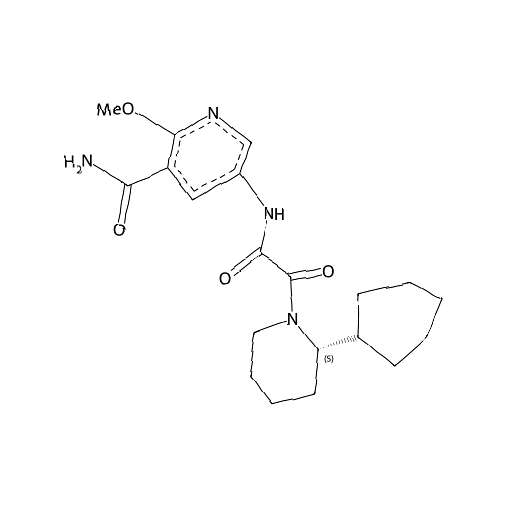 COc1ncc(NC(=O)C(=O)N2CCCC[C@H]2C2CCCCC2)cc1C(N)=O